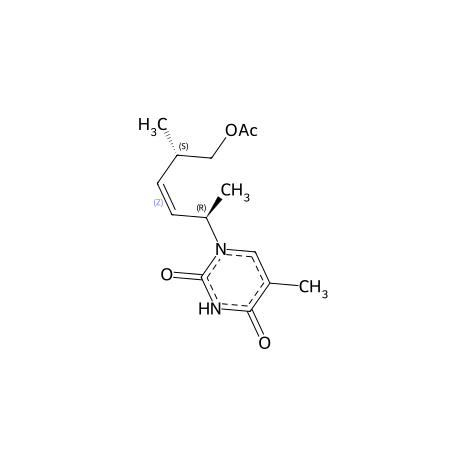 CC(=O)OC[C@@H](C)/C=C\[C@@H](C)n1cc(C)c(=O)[nH]c1=O